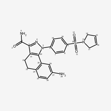 NC(=O)c1nn(-c2ccc(S(=O)(=O)N3CC=CC3)cc2)c2c1CCc1ccc(N)cc1-2